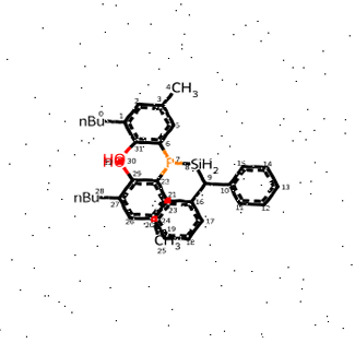 CCCCc1cc(C)cc(P([SiH2]C(c2ccccc2)c2ccccc2)c2cc(C)cc(CCCC)c2O)c1O